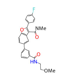 CNC(=O)c1c(-c2ccc(F)cc2)oc2ccc(-c3cccc(C(=O)NCCOC)c3)cc12